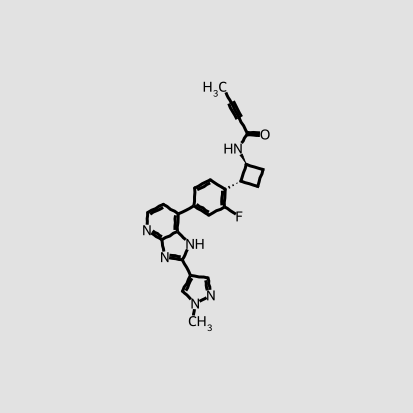 CC#CC(=O)N[C@H]1CC[C@@H]1c1ccc(-c2ccnc3nc(-c4cnn(C)c4)[nH]c23)cc1F